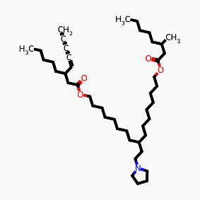 C=C=C=C=CC(CCCCC)CC(=O)OCCCCCCCCC(CCCCCCCCOC(=O)CC(C)CCCCC)CCN1CCCC1